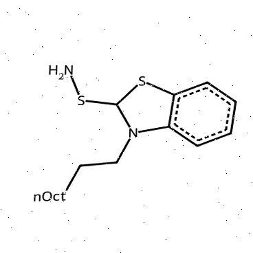 CCCCCCCCCCN1c2ccccc2SC1SN